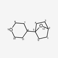 [CH]1CC2CCC1(C1CCOCC1)O2